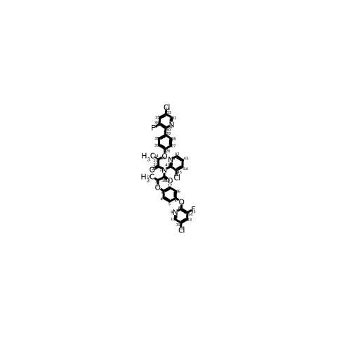 CC(Oc1ccc(Oc2ncc(Cl)cc2F)cc1)C(=O)N(C(=O)[C@@H](C)Oc1ccc(-c2ncc(Cl)cc2F)cc1)c1ncccc1Cl